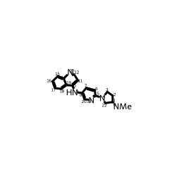 CNC1CCN(c2ccc(Nc3ccnc4ccccc34)cn2)C1